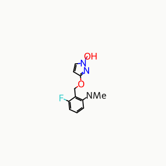 CNc1cccc(F)c1COc1ccn(O)n1